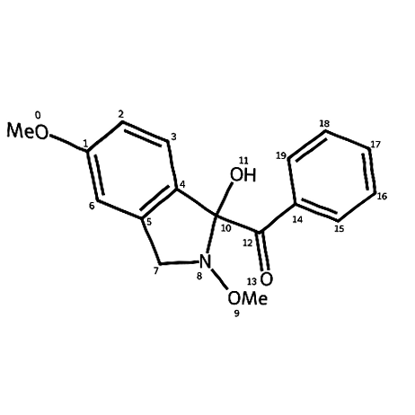 COc1ccc2c(c1)CN(OC)C2(O)C(=O)c1ccccc1